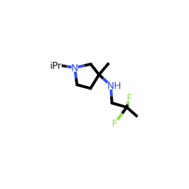 CC(C)N1CCC(C)(NCC(C)(F)F)C1